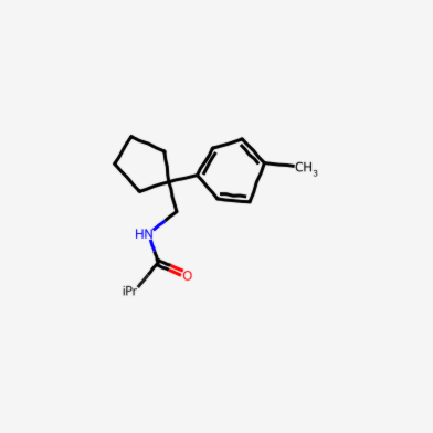 Cc1ccc(C2(CNC(=O)C(C)C)CCCC2)cc1